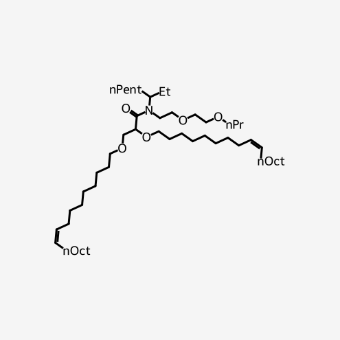 CCCCCCCC/C=C\CCCCCCCCOCC(OCCCCCCCC/C=C\CCCCCCCC)C(=O)N(CCOCCOCCC)C(CC)CCCCC